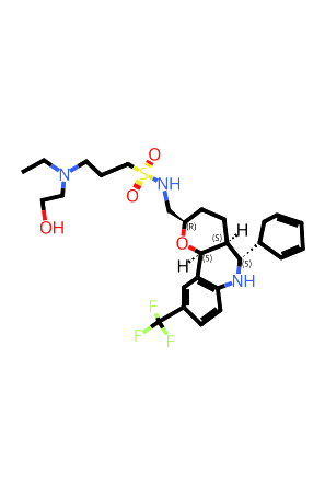 CCN(CCO)CCCS(=O)(=O)NC[C@H]1CC[C@@H]2[C@H](O1)c1cc(C(F)(F)F)ccc1N[C@H]2C1C=CC=CC1